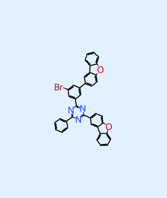 Brc1cc(-c2ccc3oc4ccccc4c3c2)cc(-c2nc(-c3ccccc3)nc(-c3ccc4oc5ccccc5c4c3)n2)c1